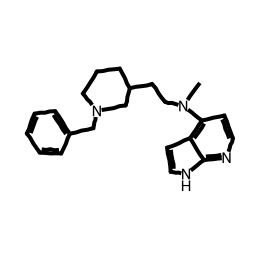 CN(CCC1CCCN(Cc2ccccc2)C1)c1ccnc2[nH]ccc12